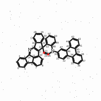 c1ccc2c(c1)-c1cccc3c4c(nc-2c13)-c1ccccc1C41c2ccccc2N(c2ccc3c4ccccc4c4ccccc4c3c2)c2ccccc21